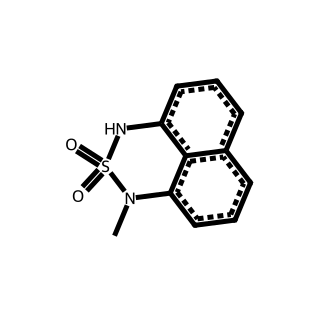 CN1c2cccc3cccc(c23)NS1(=O)=O